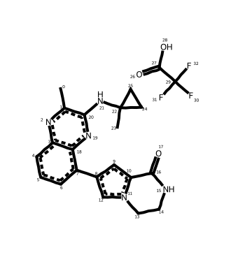 Cc1nc2cccc(-c3cc4n(c3)CCNC4=O)c2nc1NC1(C)CC1.O=C(O)C(F)(F)F